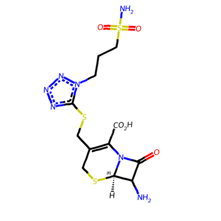 NC1C(=O)N2C(C(=O)O)=C(CSc3nnnn3CCCS(N)(=O)=O)CS[C@H]12